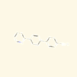 O=C(O)c1ccc(-c2ccc(-c3ccccn3)cc2)cc1